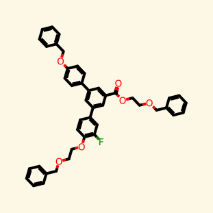 O=C(OCCOCc1ccccc1)c1cc(-c2ccc(OCc3ccccc3)cc2)cc(-c2ccc(OCCOCc3ccccc3)c(F)c2)c1